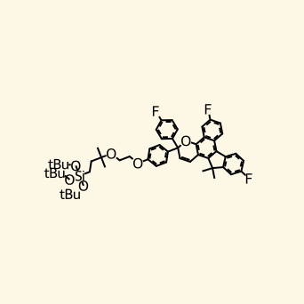 CC(C)(C)O[Si](CCC(C)(C)OCCOc1ccc(C2(c3ccc(F)cc3)C=Cc3c4c(c5ccc(F)cc5c3O2)-c2ccc(F)cc2C4(C)C)cc1)(OC(C)(C)C)OC(C)(C)C